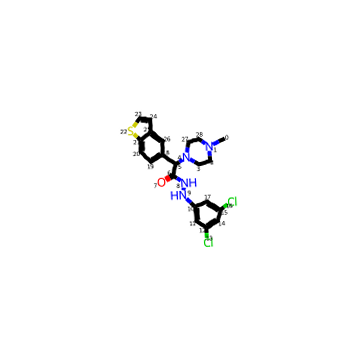 CN1CCN(C(C(=O)NNc2cc(Cl)cc(Cl)c2)c2ccc3sccc3c2)CC1